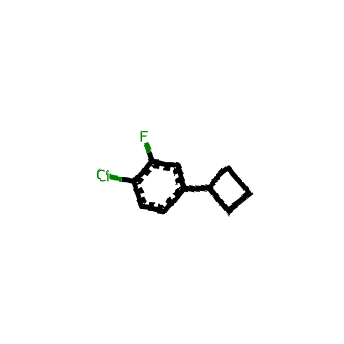 Fc1cc(C2[CH]CC2)ccc1Cl